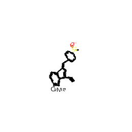 C#CC1=CC(=Cc2ccc([S+](C)[O-])cc2)c2ccc(OC)cc21